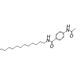 CCCCCCCCCCCCCNC(=O)c1ccc(NC(C)=O)cc1